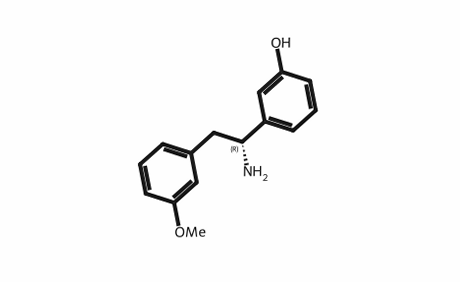 COc1cccc(C[C@@H](N)c2cccc(O)c2)c1